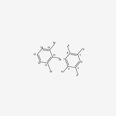 Cc1cc(C)c(C)cc1C.Cc1cccc(C)c1C